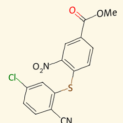 COC(=O)c1ccc(Sc2cc(Cl)ccc2C#N)c([N+](=O)[O-])c1